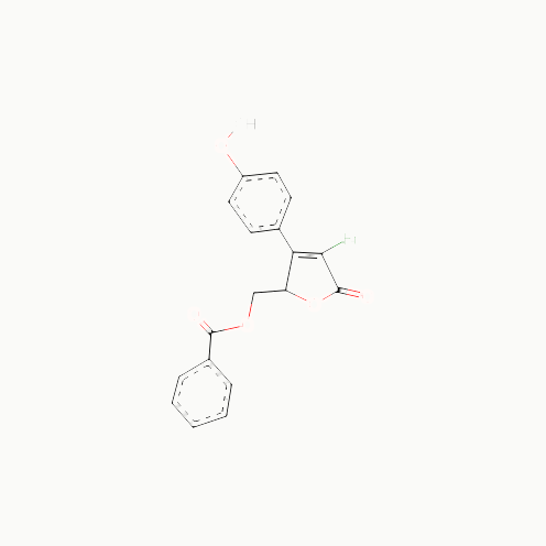 COc1ccc(C2=C(Br)C(=O)OC2COC(=O)c2ccccc2)cc1